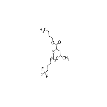 CCCCOC(=O)C(CC(C)C)SCCCCCC(F)(F)F